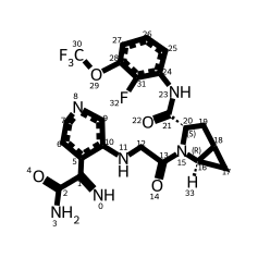 N=C(C(N)=O)c1ccncc1NCC(=O)N1[C@@H]2CC2C[C@H]1C(=O)Nc1cccc(OC(F)(F)F)c1F